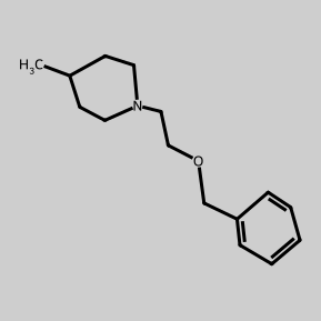 CC1CCN(CCOCc2ccccc2)CC1